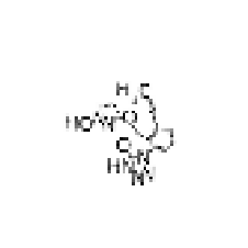 CC#Cc1cccc(-n2nn[nH]c2=O)c1COc1ccn(O)n1